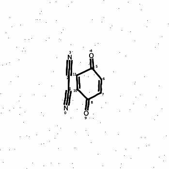 N#CC#N.O=C1C=CC(=O)C=C1